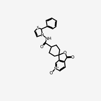 O=C1OC2(CCC(C(=O)NN3C=CSC3c3ccccc3)CC2)c2c[n+]([O-])ccc21